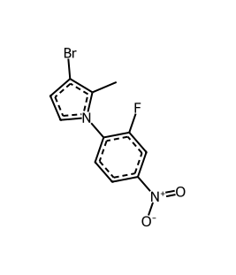 Cc1c(Br)ccn1-c1ccc([N+](=O)[O-])cc1F